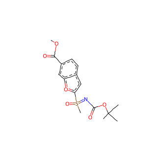 COC(=O)c1ccc2cc(S(C)(=O)=NC(=O)OC(C)(C)C)oc2c1